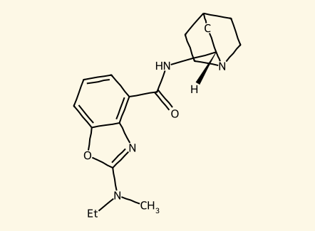 CCN(C)c1nc2c(C(=O)N[C@@H]3CC4CCN3CC4)cccc2o1